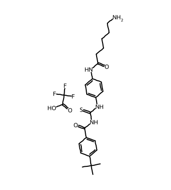 CC(C)(C)c1ccc(C(=O)NC(=S)Nc2ccc(NC(=O)CCCCCN)cc2)cc1.O=C(O)C(F)(F)F